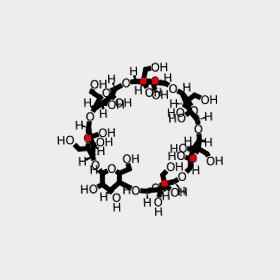 OCC1O[C@@H]2O[C@@H]3C(CO)O[C@H](O[C@@H]4C(CO)O[C@@H](O[C@@H]5C(CO)O[C@@H](O[C@@H]6C(CO)O[C@@H](O[C@@H]7C(CO)O[C@@H](O[C@@H]8C(CO)O[C@H](O[C@H]1[C@H](O)C2O)C(O)[C@H]8O)C(O)[C@H]7O)C(O)[C@H]6O)C(O)[C@@H]5O)C(O)[C@H]4O)C(O)[C@H]3O